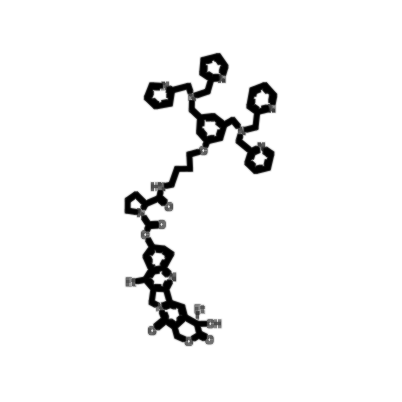 CCc1c2c(nc3ccc(OC(=O)N4CCCC4C(=O)NCCCCOc4cc(CN(Cc5ccccn5)Cc5ccccn5)cc(CN(Cc5ccccn5)Cc5ccccn5)c4)cc13)-c1cc3c(c(=O)n1C2)COC(=O)[C@@]3(O)CC